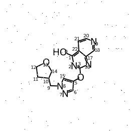 Oc1nc(Oc2cnn(CC3CCOC3)c2)nc2cnccc12